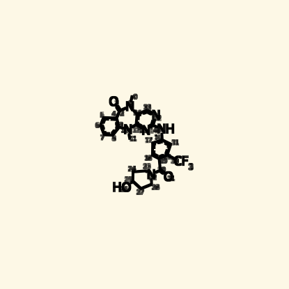 CN1C(=O)c2ccccc2N(C)c2nc(Nc3ccc(C(=O)N4CCC(O)CC4)c(C(F)(F)F)c3)ncc21